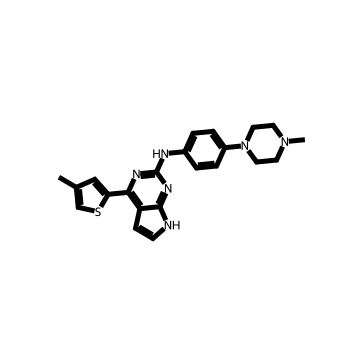 Cc1csc(-c2nc(Nc3ccc(N4CCN(C)CC4)cc3)nc3[nH]ccc23)c1